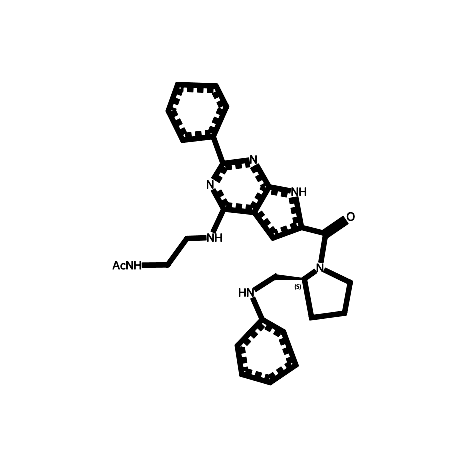 CC(=O)NCCNc1nc(-c2ccccc2)nc2[nH]c(C(=O)N3CCC[C@H]3CNc3ccccc3)cc12